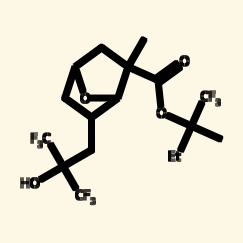 CCC(C)(OC(=O)C1(C)CC2CC(CC(O)(C(F)(F)F)C(F)(F)F)C1O2)C(F)(F)F